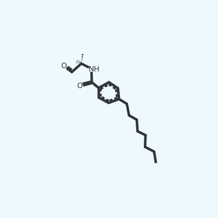 CCCCCCCCc1ccc(C(=O)N[C@@H](C)C=O)cc1